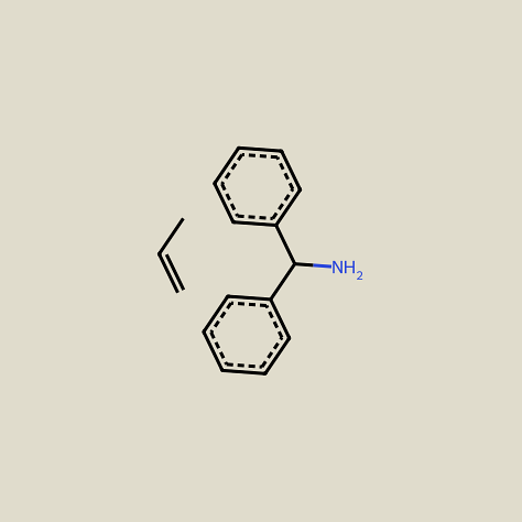 C=CC.NC(c1ccccc1)c1ccccc1